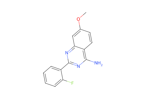 COc1ccc2c(N)nc(-c3ccccc3F)nc2c1